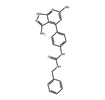 CC(C)(C)c1cc(-c2ccc(NC(=O)NCc3ccccc3)cc2)c2c(N)n[nH]c2n1